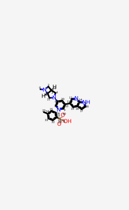 CN1C[C@H]2CN(c3cncc(-c4cnc5[nH]ccc5c4)c3)C[C@H]21.Cc1ccc(S(=O)(=O)O)cc1